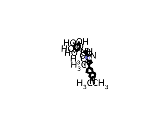 C/C(=C(/C#N)S(=O)(=O)NC[C@H]1OC(O)[C@H](O)[C@@H](O)[C@@H]1O)c1ccc(-c2ccc3cc(N(C)C)ccc3c2)n1C